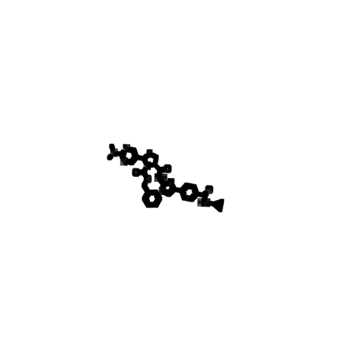 CN(C)c1ncc(C2SC[C@@H](C(=O)Nc3nc(-c4ccc(C(=O)NC5CC5)cc4)cs3)N2C(=O)OCc2ccccc2)cn1